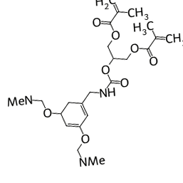 C=C(C)C(=O)OCC(COC(=O)C(=C)C)OC(=O)NCC1=CC(OCNC)=CC(OCNC)C1